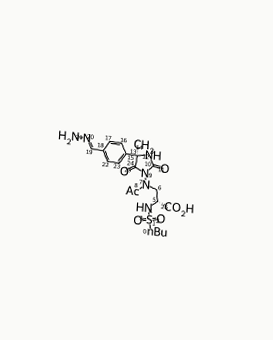 CCCCS(=O)(=O)N[C@H](CN(C(C)=O)N1C(=O)N[C@](C)(c2ccc(C=NN)cc2)C1=O)C(=O)O